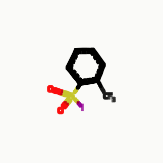 O=S(=O)(I)c1ccccc1C(F)(F)F